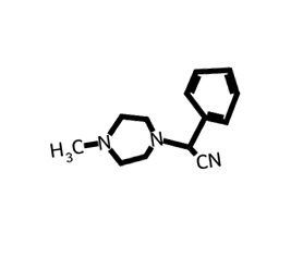 CN1CCN(C(C#N)c2ccccc2)CC1